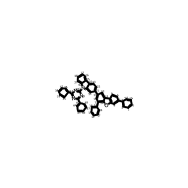 c1ccc(-c2ccc3c(c2)oc2c(-c4ccccc4)cc(-c4ccc5c6ccccc6n(-c6nc(-c7ccccc7)nc(-c7ccccc7)n6)c5c4)cc23)cc1